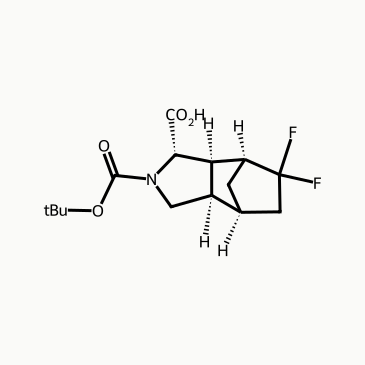 CC(C)(C)OC(=O)N1C[C@@H]2[C@H]3C[C@@H]([C@@H]2[C@H]1C(=O)O)C(F)(F)C3